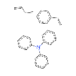 C=CC=C.C=Cc1ccccc1.c1ccc(N(c2ccccc2)c2ccccc2)cc1